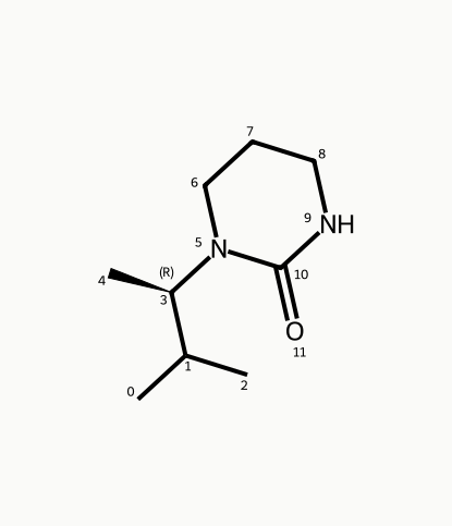 CC(C)[C@@H](C)N1CCCNC1=O